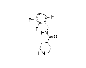 O=C(NCc1c(F)ccc(F)c1F)C1CCNCC1